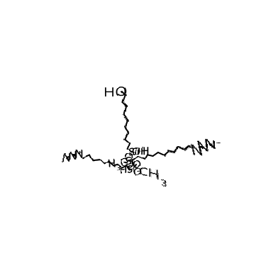 CO[SiH](CCCCCCCCCCCN=[N+]=[N-])O[Si](CCCCCCCCCCCN=[N+]=[N-])(OC)O[SiH](O)CCCCCCCCCCO